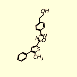 Cc1sc(-c2nc(-c3ccc(CCO)cc3)no2)cc1-c1ccccc1